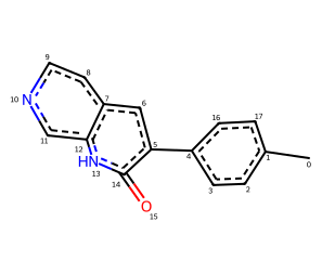 Cc1ccc(-c2cc3ccncc3[nH]c2=O)cc1